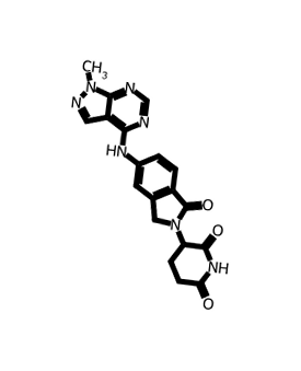 Cn1ncc2c(Nc3ccc4c(c3)CN(C3CCC(=O)NC3=O)C4=O)ncnc21